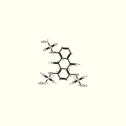 CCCCCCCCS(=O)(=O)Nc1cccc2c1C(=O)c1c(NS(=O)(=O)CCCCCCCC)ccc(NS(=O)(=O)CCCCCCCC)c1C2=O